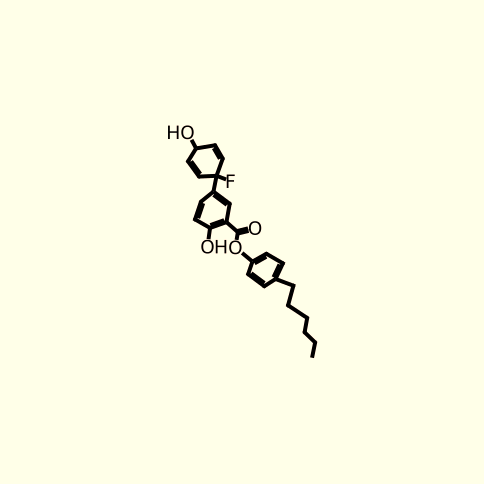 CCCCCCc1ccc(OC(=O)c2cc(C3(F)C=CC(O)C=C3)ccc2O)cc1